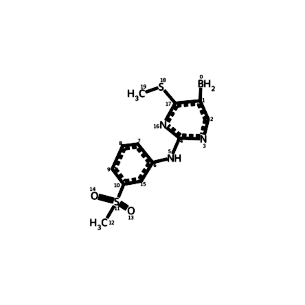 Bc1cnc(Nc2cccc(S(C)(=O)=O)c2)nc1SC